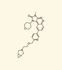 Cn1c(=O)n(C2CCOCC2)c2c3cc(-c4ccc(COCCN5CC6CC6C5)nc4)ccc3nnc21